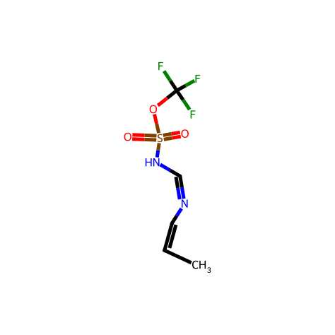 C/C=C\N=C/NS(=O)(=O)OC(F)(F)F